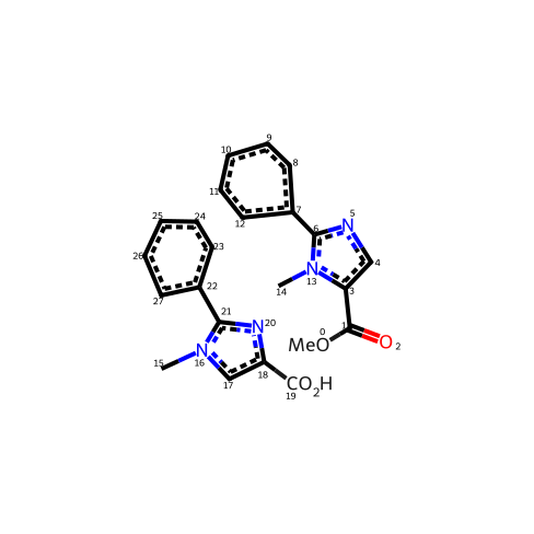 COC(=O)c1cnc(-c2ccccc2)n1C.Cn1cc(C(=O)O)nc1-c1ccccc1